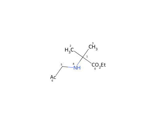 CCOC(=O)C(C)(C)NCC(C)=O